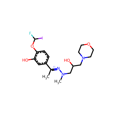 C/C(=N\N(C)CC(O)CN1CCOCC1)c1ccc(OC(F)I)c(O)c1